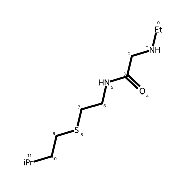 CCNCC(=O)NCCSCCC(C)C